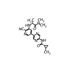 C[C@H](Nc1cc(-c2cnc(NC(=O)[C@H]3C[C@H]3C)cn2)cnc1C#N)C(=O)N(C)C